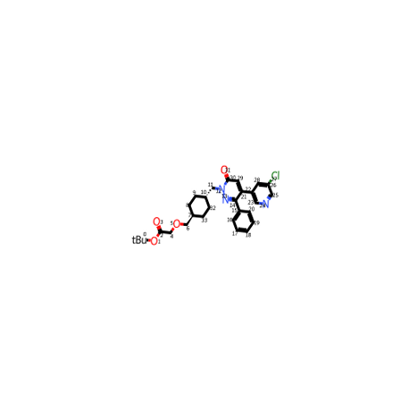 CC(C)(C)OC(=O)COC[C@H]1CC[C@H](Cn2nc(-c3ccccc3)c(-c3cncc(Cl)c3)cc2=O)CC1